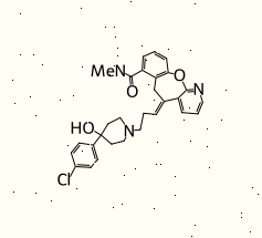 CNC(=O)c1cccc2c1CC(=CCCN1CCC(O)(c3ccc(Cl)cc3)CC1)c1cccnc1O2